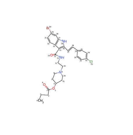 CCCC(=O)OC1CCN(CCNC(=O)c2c(/C=C/c3ccc(Cl)cc3)[nH]c3cc(Br)ccc23)CC1